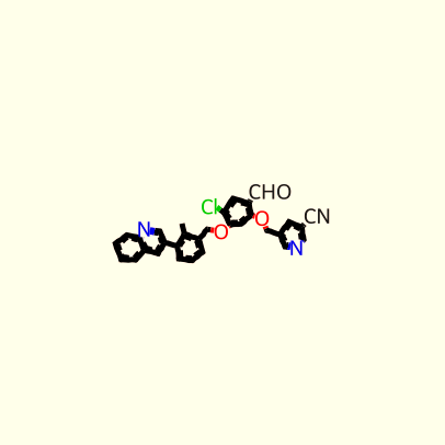 Cc1c(COc2cc(OCc3cncc(C#N)c3)c(C=O)cc2Cl)cccc1-c1cnc2ccccc2c1